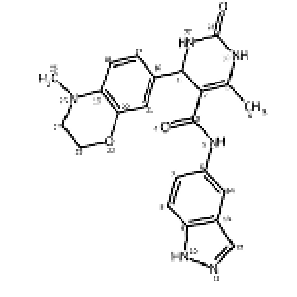 CC1=C(C(=O)Nc2ccc3[nH]ncc3c2)C(c2ccc3c(c2)OCCN3C)NC(=O)N1